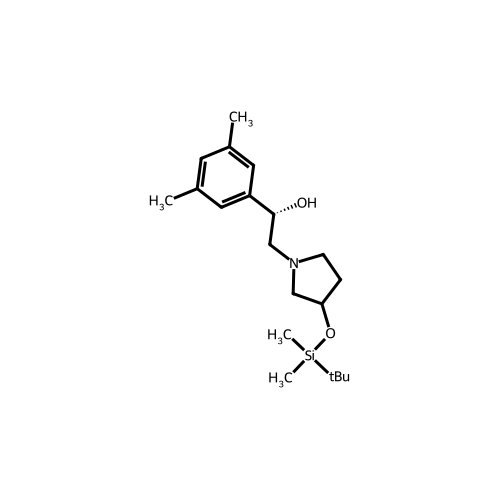 Cc1cc(C)cc([C@H](O)CN2CCC(O[Si](C)(C)C(C)(C)C)C2)c1